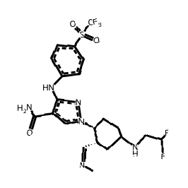 C/N=C\[C@H]1CC(NCC(F)F)CC[C@@H]1n1cc(C(N)=O)c(Nc2ccc(S(=O)(=O)C(F)(F)F)cc2)n1